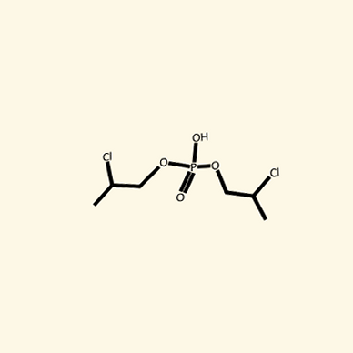 CC(Cl)COP(=O)(O)OCC(C)Cl